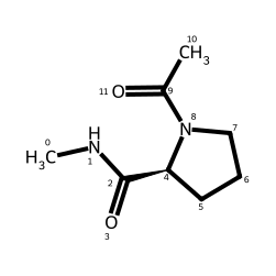 CNC(=O)[C@@H]1CCCN1C(C)=O